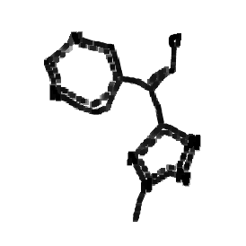 Cn1nnc(/C(=C/Cl)c2cncnc2)n1